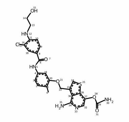 Cc1ccc(NC(=O)c2ccc(NCCO)c(Cl)c2)cc1OCc1csc2c(OC(N)=O)cnc(N)c12